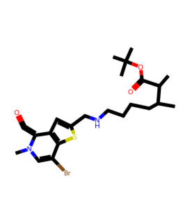 CC(CCCCNCc1cc2c(s1)C(Br)=CN(C)C2=C=O)C(C)C(=O)OC(C)(C)C